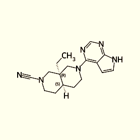 CC[C@@]12CN(C#N)CC[C@@H]1CCN(c1ncnc3[nH]ccc13)C2